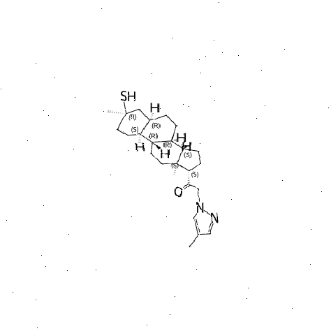 Cc1cnn(CC(=O)[C@H]2CC[C@H]3[C@@H]4CC[C@@H]5C[C@](C)(S)CC[C@@H]5[C@H]4CC[C@]23C)c1